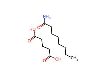 CCCCCCCC(N)=O.O=C(O)CCCC(=O)O